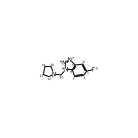 Fc1ccc2c(c1)nnn2CN1CCCC1